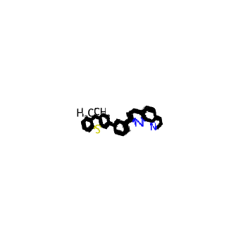 CC1(C)c2ccccc2Sc2cc(-c3cccc(-c4ccc5ccc6cccnc6c5n4)c3)ccc21